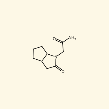 NC(=O)CN1C(=O)CC2CCCC21